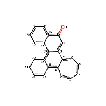 O=c1cc2c3cccccc3c3c(c2c2ccccc12)CCC=C3